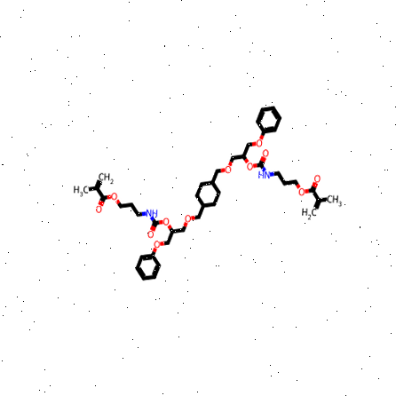 C=C(C)C(=O)OCCCNC(=O)OC(COCC1CCC(COCC(COc2ccccc2)OC(=O)NCCCOC(=O)C(=C)C)CC1)COc1ccccc1